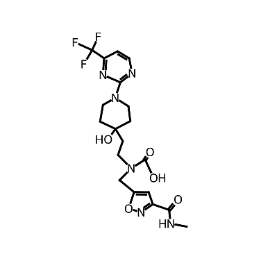 CNC(=O)c1cc(CN(CCC2(O)CCN(c3nccc(C(F)(F)F)n3)CC2)C(=O)O)on1